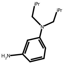 CC(C)CN(CC(C)C)c1cccc(N)c1